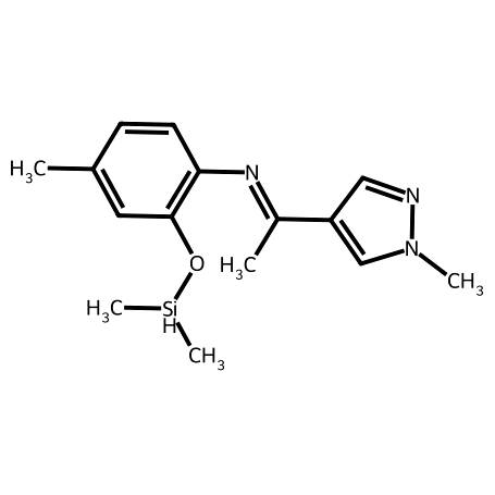 CC(=Nc1ccc(C)cc1O[SiH](C)C)c1cnn(C)c1